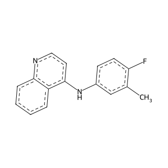 Cc1cc(Nc2ccnc3ccccc23)ccc1F